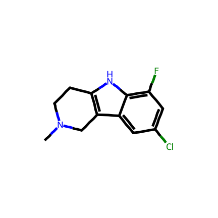 CN1CCc2[nH]c3c(F)cc(Cl)cc3c2C1